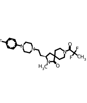 CN1C(=O)C2(CCN(C(=O)C(C)(F)F)CC2)C[C@@H]1CCN1CCN(c2ccc(F)cc2)CC1